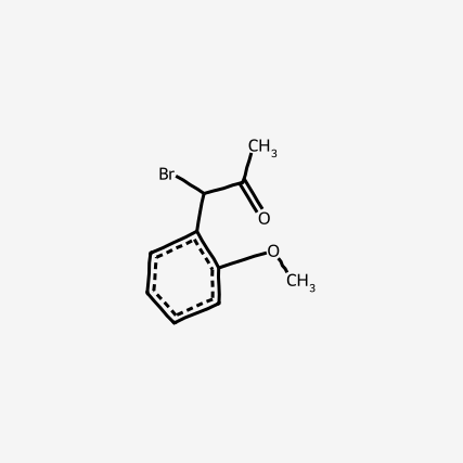 COc1ccccc1C(Br)C(C)=O